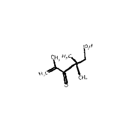 C=C(C)C(=O)C(C)(C)CS(=O)(=O)O